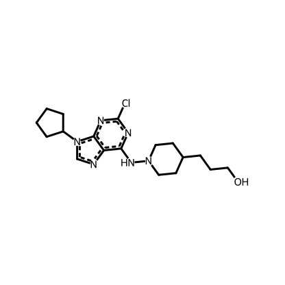 OCCCC1CCN(Nc2nc(Cl)nc3c2ncn3C2CCCC2)CC1